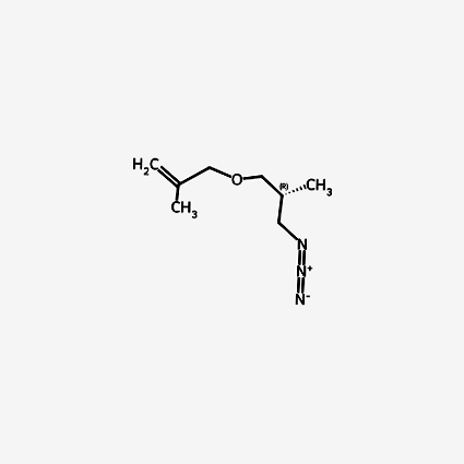 C=C(C)COC[C@H](C)CN=[N+]=[N-]